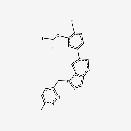 Cc1ccc(Cn2ncc3ncc(-c4ccc(F)c(OC(F)F)c4)cc32)nn1